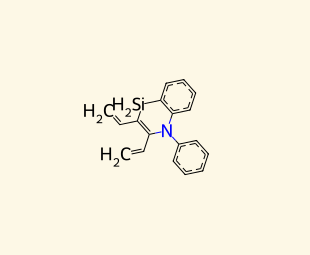 C=CC1=C(C=C)N(c2ccccc2)c2ccccc2[SiH2]1